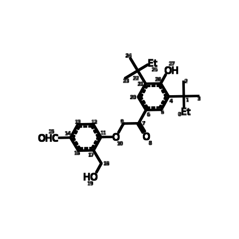 CCC(C)(C)c1cc(C(=O)COc2ccc(C=O)cc2CO)cc(C(C)(C)CC)c1O